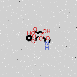 O=C(O)C=CC(=O)O.c1ccc2c(c1)OCC(COCC1CNCCO1)O2